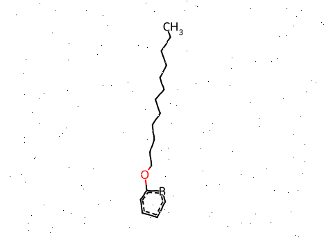 CCCCCCCCCCCCOc1bcccc1